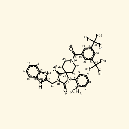 Cc1ccccc1N1C(=O)N(Cc2nc3ccccc3[nH]2)C(=O)C12CCN(C(=O)c1cc(C(F)(F)F)cc(C(F)(F)F)c1)CC2